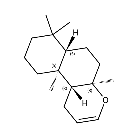 CC1(C)CCC[C@]2(C)[C@H]3CC=CO[C@]3(C)CC[C@@H]12